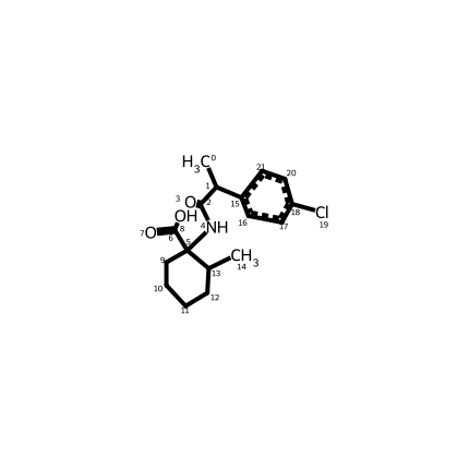 CC(C(=O)NC1(C(=O)O)CCCCC1C)c1ccc(Cl)cc1